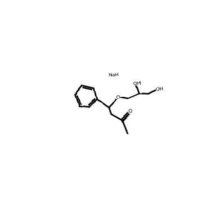 CC(=O)CC(OCC(O)CO)c1ccccc1.[NaH]